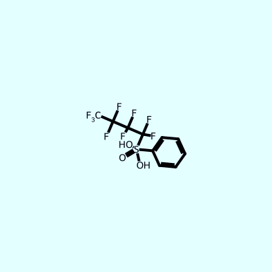 O=S(O)(O)(c1ccccc1)C(F)(F)C(F)(F)C(F)(F)C(F)(F)F